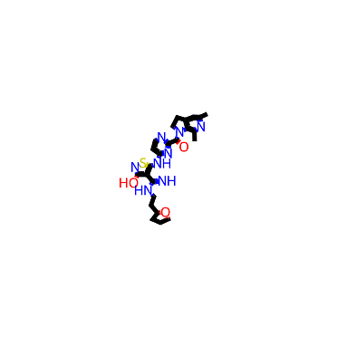 Cc1cc2c(c(C)n1)N(C(=O)c1nccc(Nc3snc(O)c3C(=N)NCCC3CCCO3)n1)CC2